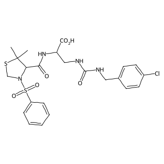 CC1(C)SCN(S(=O)(=O)c2ccccc2)C1C(=O)NC(CNC(=O)NCc1ccc(Cl)cc1)C(=O)O